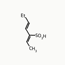 C/C=C(/C=C/CC)S(=O)(=O)O